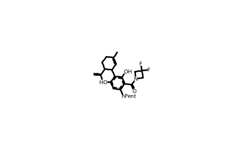 C=C(C)C1CCC(C)=CC1c1c(O)cc(CCCCC)c(C(=O)N2CC(F)(F)C2)c1O